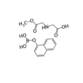 COC(=O)CNCC(=O)O.OB(O)Oc1cccc2ccccc12